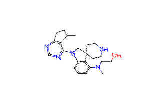 CC1CCc2ncnc(N3CC4(CCNCC4)c4c(N(C)CCO)cccc43)c21